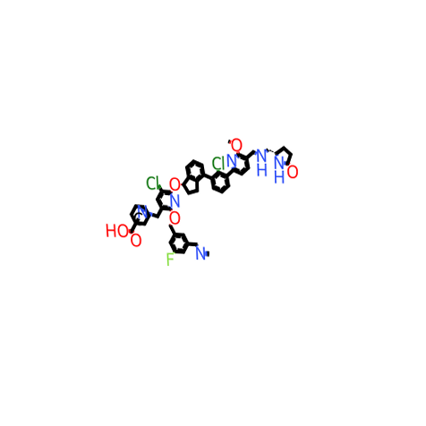 C=NCc1cc(F)cc(COc2nc(O[C@H]3CCc4c(-c5cccc(-c6ccc(CNC[C@@H]7CCC(=O)N7)c(OC)n6)c5Cl)cccc43)c(Cl)cc2CN2CC3(C(=O)O)CCC2CC3)c1